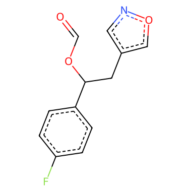 O=COC(Cc1cnoc1)c1ccc(F)cc1